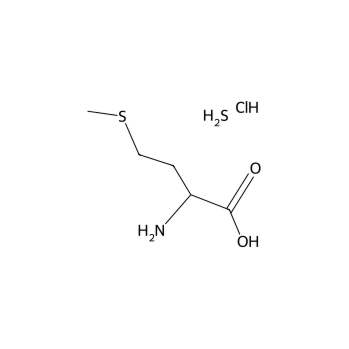 CSCCC(N)C(=O)O.Cl.S